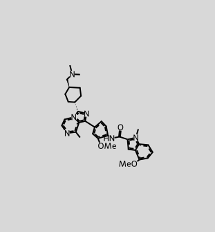 COc1cc(-c2nc([C@H]3CC[C@H](CN(C)C)CC3)n3ccnc(C)c23)ccc1NC(=O)c1cc2c(OC)cccc2n1C